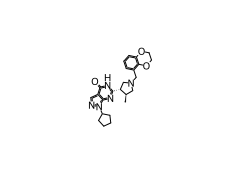 C[C@@H]1CN(Cc2cccc3c2OCCO3)C[C@H]1c1nc2c(cnn2C2CCCC2)c(=O)[nH]1